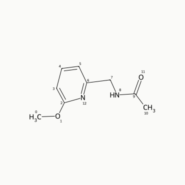 COc1cccc(CNC(C)=O)n1